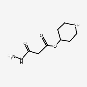 NNC(=O)CC(=O)OC1CCNCC1